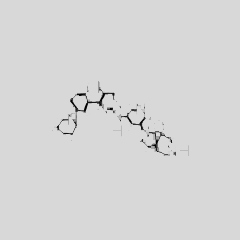 O=C1N(c2cncc(Nc3ncc(Cl)c(-c4cccc(N5CCCCC5)c4)n3)c2)CCC12CCNCC2